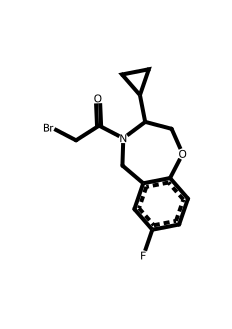 O=C(CBr)N1Cc2cc(F)ccc2OCC1C1CC1